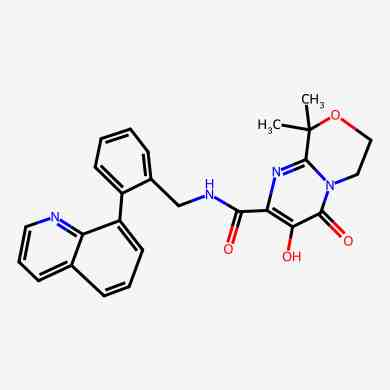 CC1(C)OCCn2c1nc(C(=O)NCc1ccccc1-c1cccc3cccnc13)c(O)c2=O